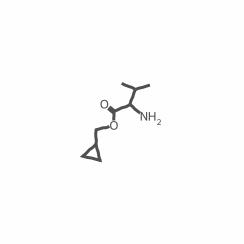 CC(C)C(N)C(=O)OCC1CC1